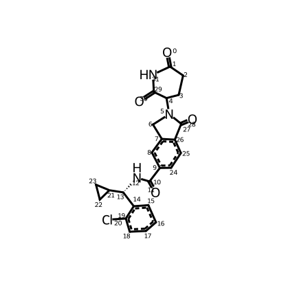 O=C1CCC(N2Cc3cc(C(=O)N[C@H](c4ccccc4Cl)C4CC4)ccc3C2=O)C(=O)N1